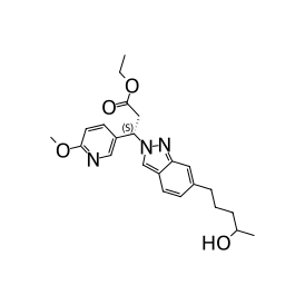 CCOC(=O)C[C@@H](c1ccc(OC)nc1)n1cc2ccc(CCCC(C)O)cc2n1